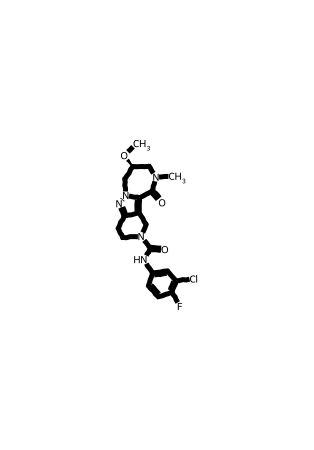 CO[C@H]1CN(C)C(=O)c2c3c(nn2C1)CCN(C(=O)Nc1ccc(F)c(Cl)c1)C3